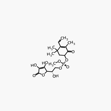 C=CC1=C(C)C(=O)C(OP(=O)(OC)OC[C@H](O)C2OC(=O)C(O)=C2O)CC1(C)C